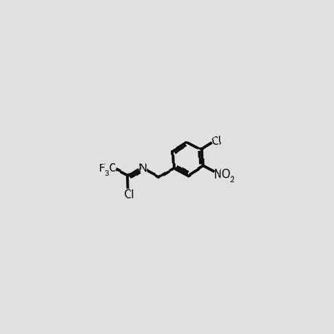 O=[N+]([O-])c1cc(CN=C(Cl)C(F)(F)F)ccc1Cl